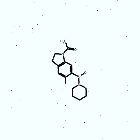 CC(=O)N1CCc2cc(Cl)c([S+]([O-])N3CCCCC3)cc21